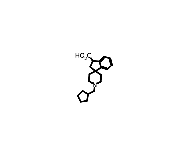 O=C(O)C1CC2(CCN(CC3CCCC3)CC2)c2ccccc21